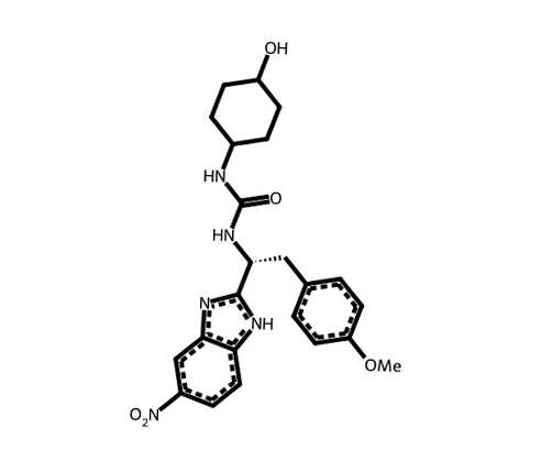 COc1ccc(C[C@@H](NC(=O)NC2CCC(O)CC2)c2nc3cc([N+](=O)[O-])ccc3[nH]2)cc1